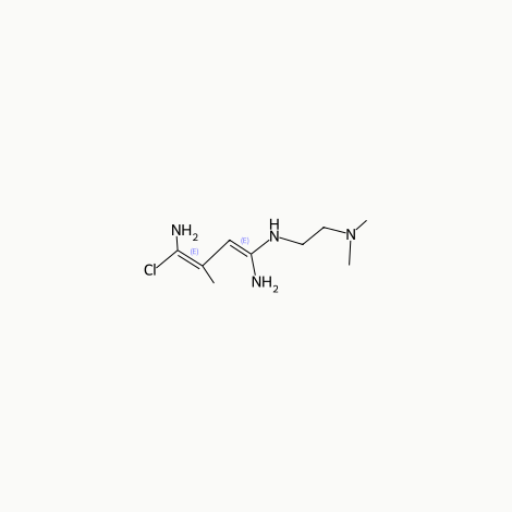 CC(/C=C(\N)NCCN(C)C)=C(/N)Cl